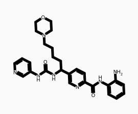 Nc1ccccc1NC(=O)c1ccc(C(CCCCN2CCOCC2)NC(=O)Nc2cccnc2)cn1